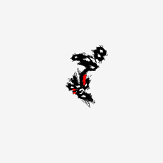 CC1(C)c2ccccc2C2(c3ccccc3-n3c4ccccc4c4cccc2c43)c2ccc(-c3ccc4c(c3)c3ccccc3n4-c3ccc4ccccc4c3)cc21